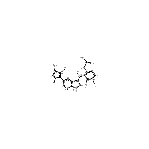 CCCn1nc(C)c(-c2cnc3[nH]cc([C@H](C)c4c(OC(F)F)ccc(F)c4Cl)c3c2)c1C